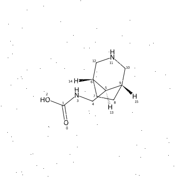 O=C(O)NC[C@H]1[C@@H]2CC[C@H]1CNC2